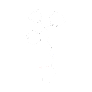 O=C(O)CC(O)/C=C/CCSC(c1ccccc1)(c1ccccc1)c1ccccc1